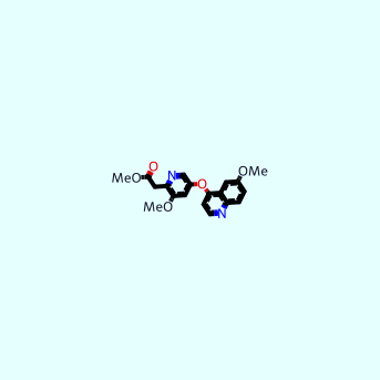 COC(=O)Cc1ncc(Oc2ccnc3ccc(OC)cc23)cc1OC